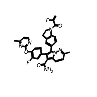 C=C(F)C(=O)N1CCc2cc(-c3c(-c4ccc(Oc5nccc(C)n5)c(F)c4)c(C(N)=O)c4ccc(C)nn34)ccc21